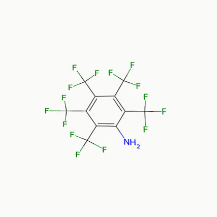 Nc1c(C(F)(F)F)c(C(F)(F)F)c(C(F)(F)F)c(C(F)(F)F)c1C(F)(F)F